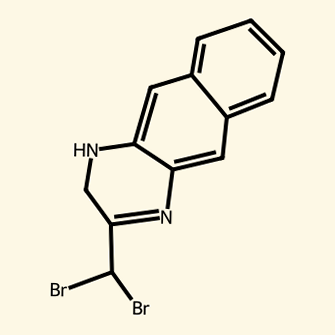 BrC(Br)C1=Nc2cc3ccccc3cc2NC1